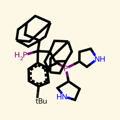 CC(C)(C)c1ccc(C(P)(C23CC4CC(CC(C4)C2)C3)C23CC4CC(CC(C4)C2)C3)c(CP(C2CCNC2)C2CCNC2)c1